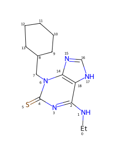 CCNc1nc(=S)n(CC2CCCCC2)c2nc[nH]c12